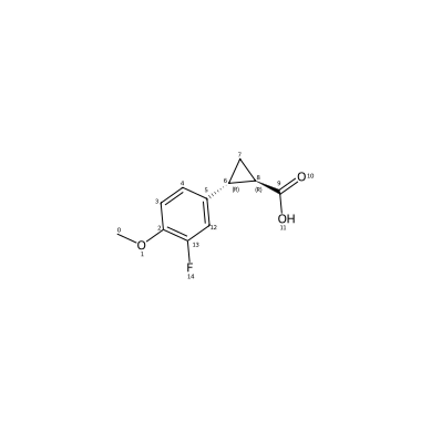 COc1ccc([C@@H]2C[C@H]2C(=O)O)cc1F